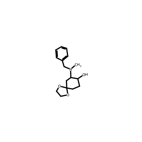 CN(Cc1ccccc1)C1CC2(CCC1O)OCCO2